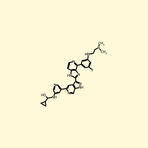 CN(C)CCNc1cc(F)cc(-c2nccc3[nH]c(-c4n[nH]c5cnc(-c6cncc(NC(O)C7CC7)c6)cc45)nc23)c1